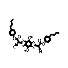 [C-]#[N+]C(C(=O)Oc1ccc(CCCC)cc1)=C1Sc2c(OC)c3c(c(OC)c2S1)SC(=C(C#N)C(=O)Oc1ccc(CCCC)cc1)S3